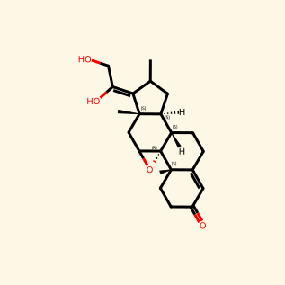 CC1C[C@H]2[C@@H]3CCC4=CC(=O)CC[C@]4(C)[C@]34OC4C[C@]2(C)C1=C(O)CO